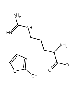 N=C(N)NCCCC(N)C(=O)O.Oc1ccco1